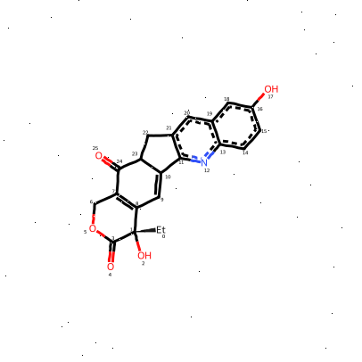 CC[C@@]1(O)C(=O)OCC2=C1C=C1c3nc4ccc(O)cc4cc3CC1C2=O